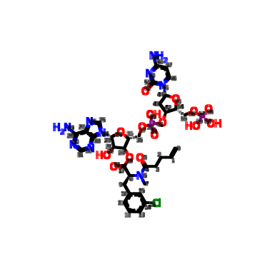 C=CCCC(=O)N(C)[C@@H](Cc1cccc(Cl)c1)C(=O)O[C@H]1[C@@H](O)[C@H](n2cnc3c(N)ncnc32)O[C@@H]1COP(=O)(O)O[C@H]1C[C@H](n2ccc(N)nc2=O)O[C@@H]1COP(=O)(O)O